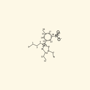 CCC[CH2][Sn]([CH2]CCC)([CH2]CCC)[c]1cc(C)cc([N+](=O)[O-])c1